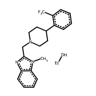 CCO.Cn1c(CN2CCC(c3ccccc3C(F)(F)F)CC2)nc2ccccc21